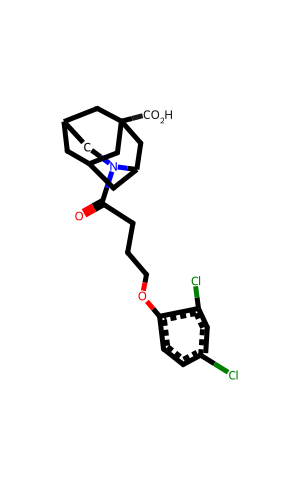 O=C(CCCOc1ccc(Cl)cc1Cl)N1CC2CC3CC1CC(C(=O)O)(C3)C2